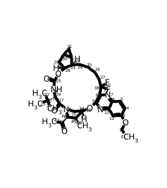 CCOc1ccc2nc3c(nc2c1)O[C@H]1CN(C(=O)[C@H](C(C)(C)C)NC(=O)O[C@@H]2CC4CC4[C@H]2CCCCC3(F)F)[C@H](C(C)=O)[C@@H]1C